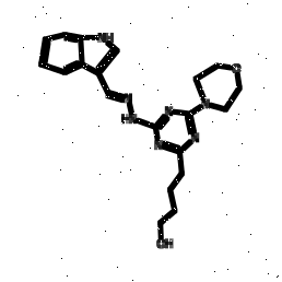 OCCCCc1nc(NN=Cc2c[nH]c3ccccc23)nc(N2CCOCC2)n1